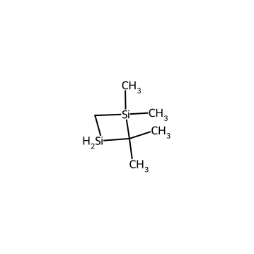 CC1(C)[SiH2]C[Si]1(C)C